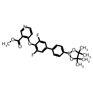 COC(=O)c1cnccc1Oc1c(F)cc(-c2ccc(B3OC(C)(C)C(C)(C)O3)cc2)cc1F